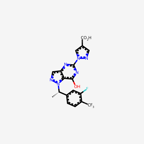 C[C@@H](c1ccc(C(F)(F)F)c(F)c1)n1ncc2nc(-n3cc(C(=O)O)cn3)nc(O)c21